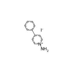 N[n+]1ccc(-c2ccccc2)cc1.[I-]